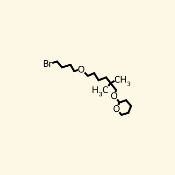 CC(C)(CCCCOCCCCBr)COC1CCCCO1